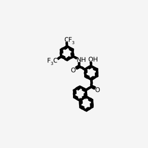 O=C(Nc1cc(C(F)(F)F)cc(C(F)(F)F)c1)c1cc(C(=O)c2cccc3ccccc23)ccc1O